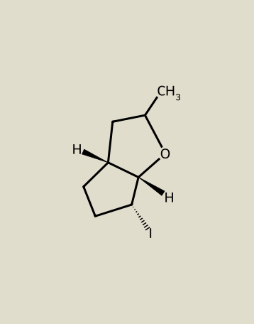 CC1C[C@H]2CC[C@@H](I)[C@H]2O1